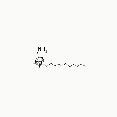 CCCCCCCCCCC[C]12[CH]3[C]4(CN)[C]5(C)[C]1(C)[Fe]34251678[CH]2[CH]1[CH]6[CH]7[CH]28